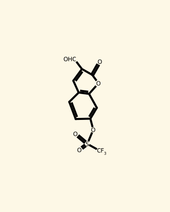 O=Cc1cc2ccc(OS(=O)(=O)C(F)(F)F)cc2oc1=O